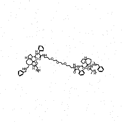 CN[C@@H](C)C(=O)N[C@@H]1C(=O)N2[C@@H](CC[C@@H]1CNCc1ccccc1)CC[C@H]2C(=O)N[C@H](C(=O)NCCCOCCOCCOCCCNC(=O)[C@@H](NC(=O)[C@@H]1CC[C@@H]2CC[C@H](CNCc3ccccc3)[C@H](NC(=O)[C@H](C)NC)C(=O)N21)c1ccccc1)c1ccccc1